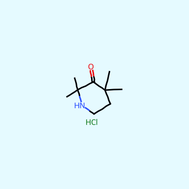 CC1(C)CCNC(C)(C)C1=O.Cl